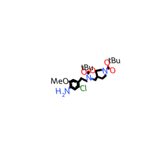 COc1cc(CCN(CC2CCN(C(=O)OC(C)(C)C)CC2)C(=O)OC(C)(C)C)c(Cl)cc1N